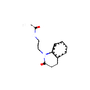 CC(=O)NCCN1C(=O)CCc2cc[c]cc21